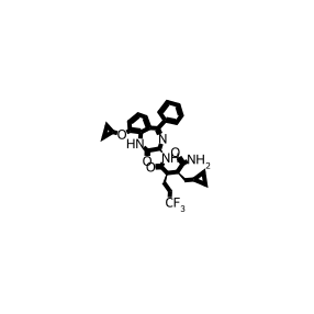 NC(=O)[C@@H](CC1CC1)[C@@H](CCC(F)(F)F)C(=O)N[C@H]1N=C(c2ccccc2)c2cccc(OC3CC3)c2NC1=O